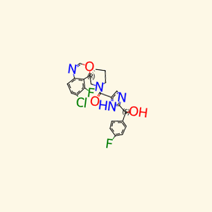 O=C(c1cnc([C@@H](O)c2ccc(F)cc2)[nH]1)N1CCC[C@@]2(C1)OC=Nc1ccc(Cl)c(F)c12